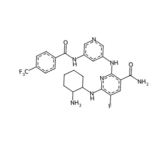 NC(=O)c1cc(F)c(NC2CCCCC2N)nc1Nc1cncc(NC(=O)c2ccc(C(F)(F)F)cc2)c1